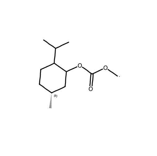 [CH2]OC(=O)OC1C[C@H](C)CCC1C(C)C